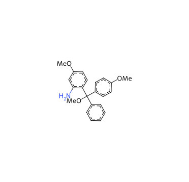 COc1ccc(C(OC)(c2ccccc2)c2ccc(OC)cc2N)cc1